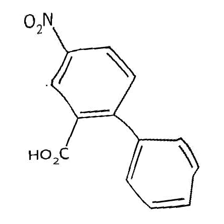 O=C(O)c1[c]c([N+](=O)[O-])ccc1-c1ccccc1